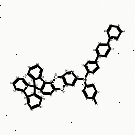 Cc1ccc(N(c2ccc(-c3ccc(-c4ccccc4)cc3)cc2)c2ccc3c(c2)Oc2ccc4c(c2O3)-c2ccccc2C42c3ccccc3-c3ccccc32)cc1